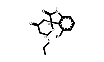 CCC[C@@H]1CC(=O)C[C@@]2(O1)C(=O)Nc1cccc(Br)c12